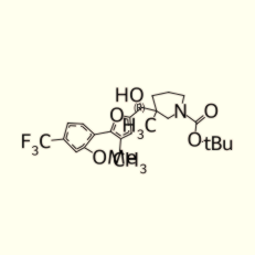 COc1cc(C(F)(F)F)ccc1-c1oc([C@H](O)C2(C)CCCN(C(=O)OC(C)(C)C)C2)cc1C